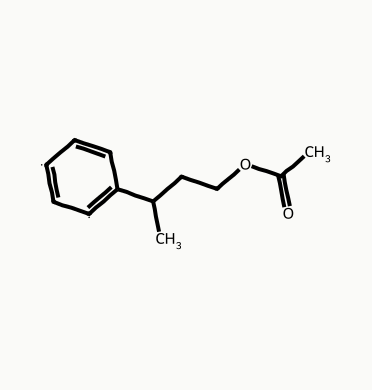 CC(=O)OCCC(C)c1[c]c[c]cc1